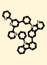 c1ccc(-n2c3ccccc3c3cccc(-c4ccc5c(c4)c4cccnc4n5-c4cccc(-c5cc(-c6ccccn6)nc(-c6ccccn6)c5)c4)c32)cc1